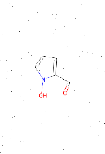 O=Cc1cccn1O